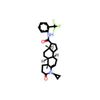 C[C@]12CCC(=O)N(C3CC3)C1=CC[C@@H]1[C@H]2CC[C@]2(C)C(C(=O)Nc3ccccc3C(F)(F)F)CC[C@@H]12